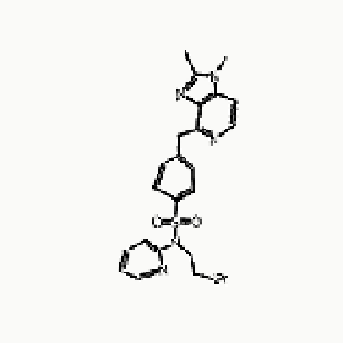 Cc1nc2c(Cc3ccc(S(=O)(=O)N(CCC(C)C)c4ccccn4)cc3)nccc2n1C